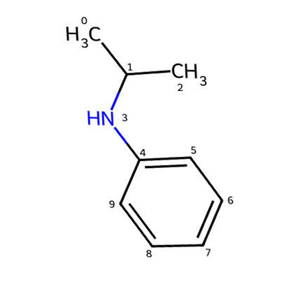 CC(C)Nc1ccccc1